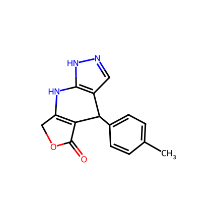 Cc1ccc(C2C3=C(COC3=O)Nc3[nH]ncc32)cc1